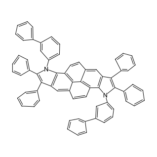 c1ccc(-c2cccc(-n3c(-c4ccccc4)c(-c4ccccc4)c4cc5ccc6c7c(ccc(c57)c43)cc3c(-c4ccccc4)c(-c4ccccc4)n(-c4cccc(-c5ccccc5)c4)c36)c2)cc1